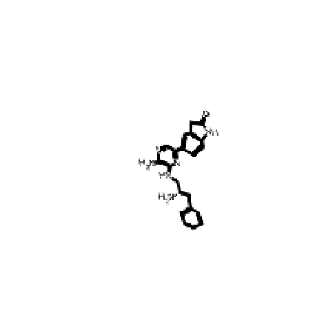 Nc1ncc(-c2ccc3c(c2)CC(=O)N3)nc1NC[C@@H](N)Cc1ccccc1